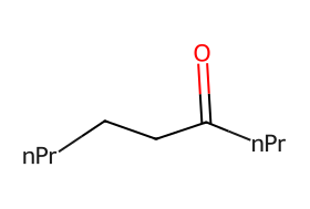 CCCCCC(=O)CCC